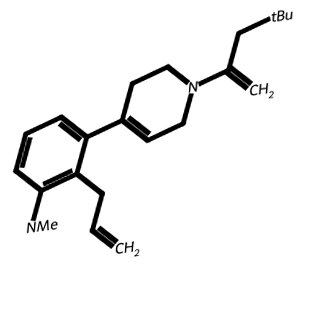 C=CCc1c(NC)cccc1C1=CCN(C(=C)CC(C)(C)C)CC1